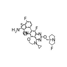 N#Cc1c(N)sc2c(F)ccc(-c3c(Cl)c4c5c(nc(OC[C@@]67CCCN6C[C@H](F)C7)nc5c3F)N(C3CC3)CCO4)c12